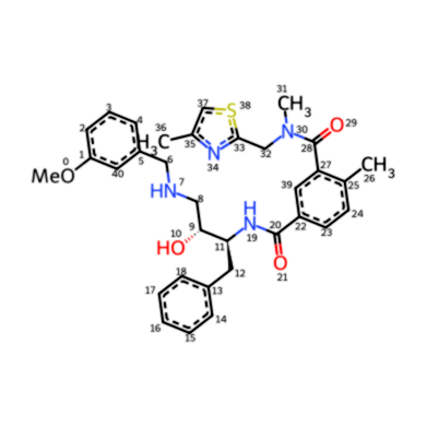 COc1cccc(CNC[C@@H](O)[C@H](Cc2ccccc2)NC(=O)c2ccc(C)c(C(=O)N(C)Cc3nc(C)cs3)c2)c1